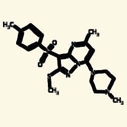 CSc1nn2c(N3CCN(C)CC3)cc(C)nc2c1S(=O)(=O)c1ccc(C)cc1